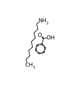 CCCCCCCCCCN.O=C(O)c1ccccc1